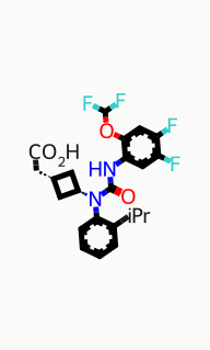 CC(C)c1ccccc1N(C(=O)Nc1cc(F)c(F)cc1OC(F)F)[C@H]1C[C@@H](CC(=O)O)C1